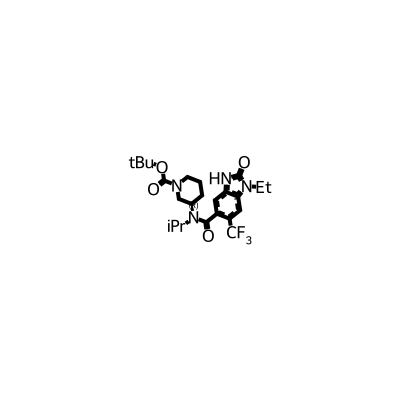 CCn1c(=O)[nH]c2cc(C(=O)N(C(C)C)[C@@H]3CCCN(C(=O)OC(C)(C)C)C3)c(C(F)(F)F)cc21